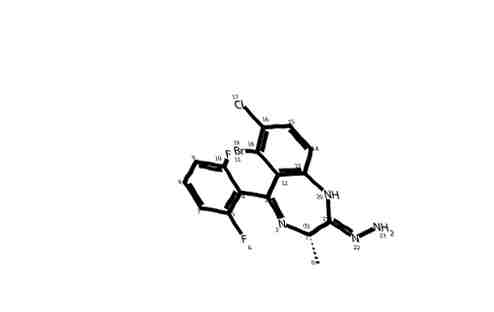 C[C@@H]1N=C(c2c(F)cccc2F)c2c(ccc(Cl)c2Br)NC1=NN